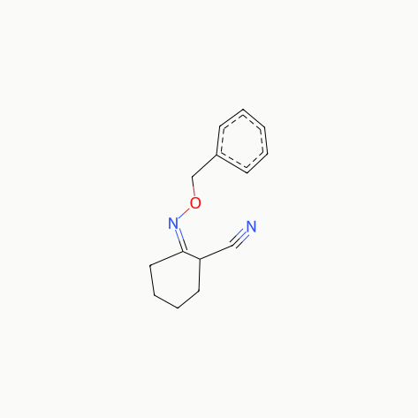 N#CC1CCCC/C1=N/OCc1ccccc1